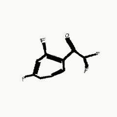 O=C(c1ccc(F)cc1F)C(F)F